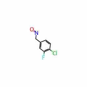 O=NCc1ccc(Cl)c(F)c1